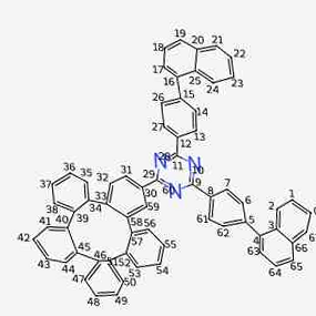 c1ccc2c(-c3ccc(-c4nc(-c5ccc(-c6cccc7ccccc67)cc5)nc(-c5ccc6c7ccccc7c7ccccc7c7ccccc7c7ccccc7c6c5)n4)cc3)cccc2c1